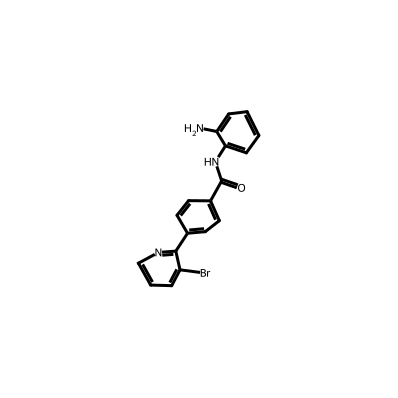 Nc1ccccc1NC(=O)c1ccc(-c2ncccc2Br)cc1